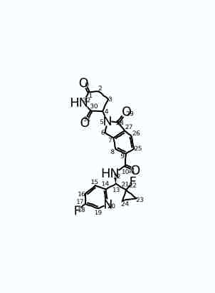 O=C1CCC(N2Cc3cc(C(=O)N[C@H](c4ccc(F)cn4)C4(F)CC4)ccc3C2=O)C(=O)N1